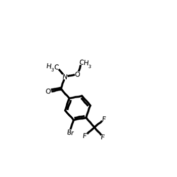 CON(C)C(=O)c1ccc(C(F)(F)F)c(Br)c1